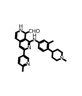 Cc1ccc(-c2cc3c(c(Nc4ccc(C5CCN(C)CC5)c(C)c4)n2)C(C=O)NC=C3)cn1